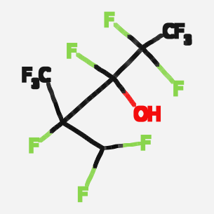 OC(F)(C(F)(F)C(F)(F)F)C(F)(C(F)F)C(F)(F)F